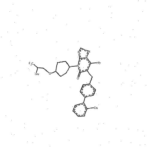 CCCc1c(Cc2ccc(-c3ccccc3C#N)cc2)c(=O)n(C2CCC(OCC(O)C(F)(F)F)CC2)c2ncnn12